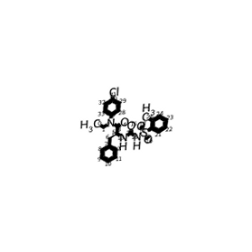 CCN(C(=O)[C@H](Cc1ccccc1)NC(=O)NS(=O)(=O)c1ccccc1C)c1ccc(Cl)cc1